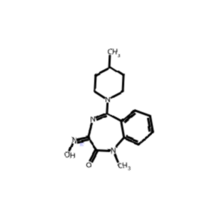 CC1CCN(c2n/c(=N/O)c(=O)n(C)c3ccccc23)CC1